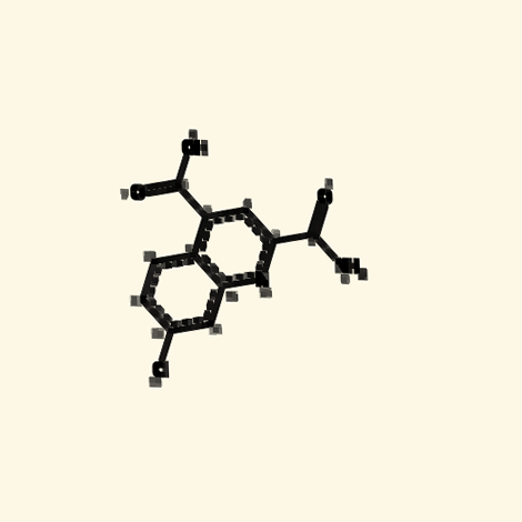 NC(=O)c1cc(C(=O)O)c2ccc(Cl)cc2n1